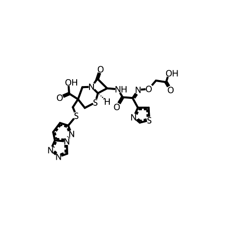 O=C(O)CON=C(C(=O)NC1C(=O)N2CC(CSc3ccc4nncn4n3)(C(=O)O)CS[C@H]12)c1cscn1